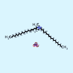 CCCCCCCCCCCCCCCCCCC[N+](CC)(CC)CCCCCCCCCCCCCCCCCCC.O=[N+]([O-])[O-]